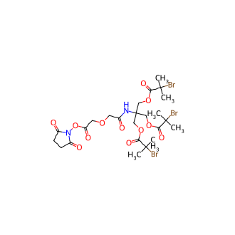 CC(C)(Br)C(=O)OCC(COC(=O)C(C)(C)Br)(COC(=O)C(C)(C)Br)NC(=O)COCC(=O)ON1C(=O)CCC1=O